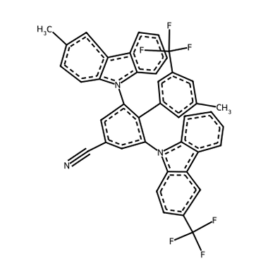 Cc1cc(-c2c(-n3c4ccccc4c4cc(C)ccc43)cc(C#N)cc2-n2c3ccccc3c3cc(C(F)(F)F)ccc32)cc(C(F)(F)F)c1